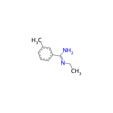 CC/N=C(\N)c1cccc(C)c1